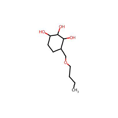 CCCCOCC1CCC(O)C(O)C1O